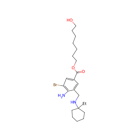 CCC1(NCc2cc(C(=O)OCCCCCCCO)cc(Br)c2N)CCCCC1